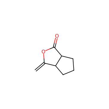 C=C1OC(=O)C2CCCC12